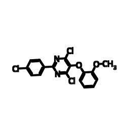 COc1ccccc1Oc1c(Cl)nc(-c2ccc(Cl)cc2)nc1Cl